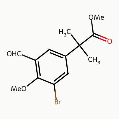 COC(=O)C(C)(C)c1cc(Br)c(OC)c(C=O)c1